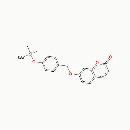 CC(C)(C)[Si](C)(C)Oc1ccc(COc2ccc3ccc(=O)oc3c2)cc1